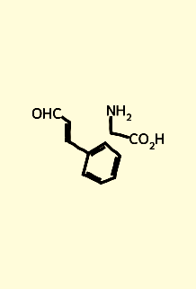 NCC(=O)O.O=CC=Cc1ccccc1